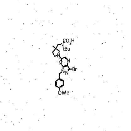 COc1ccc(Cn2nc(Br)c3ncc(N4CCC(C)(CN(C(=O)O)C(C)(C)C)C4)nc32)cc1